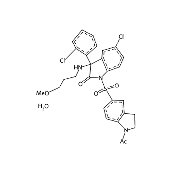 COCCCNC1(c2ccccc2Cl)C(=O)N(S(=O)(=O)c2ccc3c(c2)CCN3C(C)=O)c2ccc(Cl)cc21.O